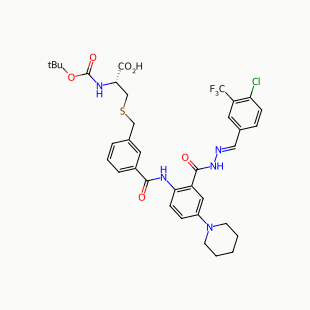 CC(C)(C)OC(=O)N[C@@H](CSCc1cccc(C(=O)Nc2ccc(N3CCCCC3)cc2C(=O)NN=Cc2ccc(Cl)c(C(F)(F)F)c2)c1)C(=O)O